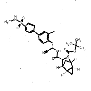 CNS(=O)(=O)c1ccc(-c2ccc(C[C@@H](C#N)NC(=O)[C@@H]3[C@@H]4C[C@@H]([C@H]5C[C@@H]45)N3C(=O)OC(C)(C)C)c(F)c2)cc1